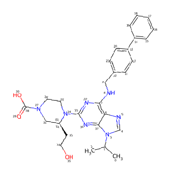 CC(C)n1cnc2c(NCc3ccc(-c4ccccc4)cc3)nc(N3CCN(C(=O)O)C[C@@H]3CCO)nc21